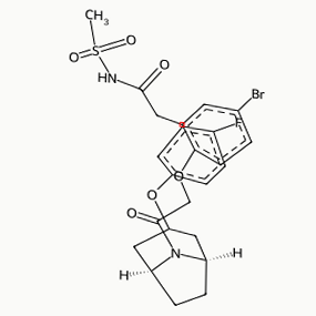 CS(=O)(=O)NC(=O)Cc1cc(Br)ccc1OCC(=O)N1[C@@H]2CC[C@H]1CC(Oc1ccc(F)cc1)C2